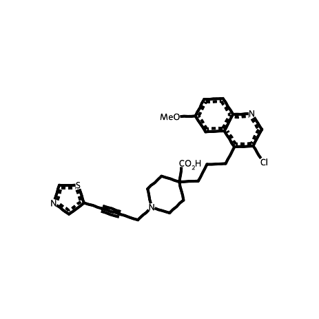 COc1ccc2ncc(Cl)c(CCCC3(C(=O)O)CCN(CC#Cc4cncs4)CC3)c2c1